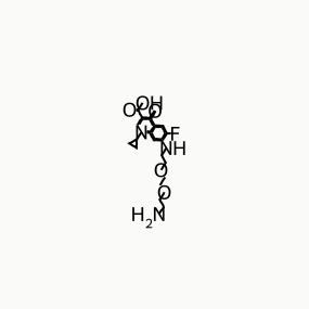 NCCOCCOCCNc1cc2c(cc1F)c(=O)c(C(=O)O)cn2C1CC1